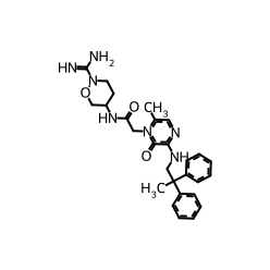 Cc1cnc(NCC(C)(c2ccccc2)c2ccccc2)c(=O)n1CC(=O)NC1CCN(C(=N)N)OC1